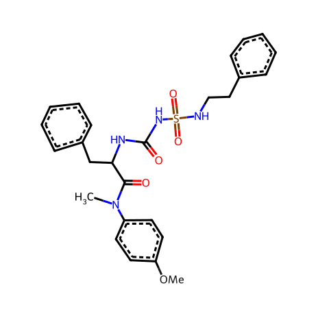 COc1ccc(N(C)C(=O)C(Cc2ccccc2)NC(=O)NS(=O)(=O)NCCc2ccccc2)cc1